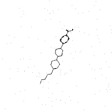 C=CC(=O)c1ccc(C2CCC(C3CCC(CCCCC)CC3)CC2)cc1